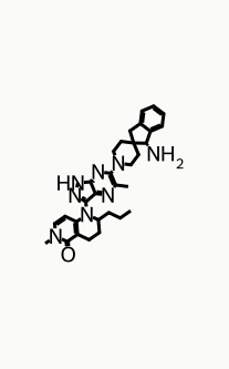 CCCC1CCc2c(ccn(C)c2=O)N1c1n[nH]c2nc(N3CCC4(CC3)Cc3ccccc3[C@H]4N)c(C)nc12